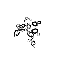 CCOc1cc(Cl)c(S(=O)(=O)N2CCOCC2)cc1C1=N[C@@H](c2ccc(Cl)cc2)[C@@H](c2ccc(Cl)cc2)N1C(=O)N1CCN(CC(=O)N2CCOCC2)CC1.Cl